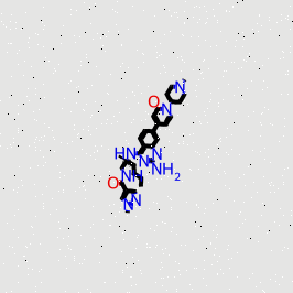 CCCC[C@](C)(CNC(=O)c1cnn(C)c1)Nc1nc(N)nc2cc(-c3ccn(C4CCN(C)CC4)c(=O)c3)ccc12